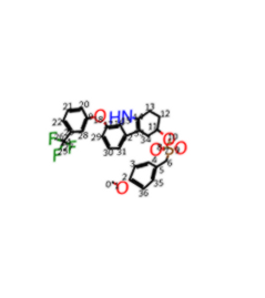 COc1ccc(CS(=O)(=O)OC2CCc3[nH]c4c(Oc5cccc(C(F)(F)F)c5)cccc4c3C2)cc1